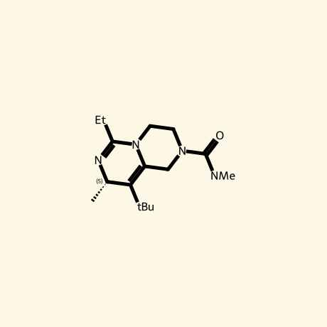 CCC1=N[C@@H](C)C(C(C)(C)C)=C2CN(C(=O)NC)CCN12